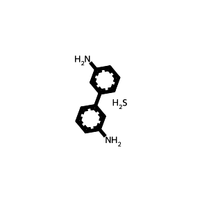 Nc1cccc(-c2cccc(N)c2)c1.S